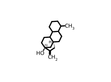 C=C1C[C@@]23CCC4C(C)CCCC4C2CC[C@]1(O)C3